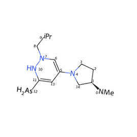 CN[C@@H]1CCN(C2=CN(CC(C)C)NC([AsH2])=C2)C1